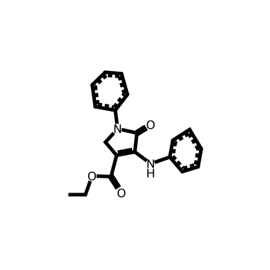 CCOC(=O)C1=C(Nc2ccccc2)C(=O)N(c2ccccc2)C1